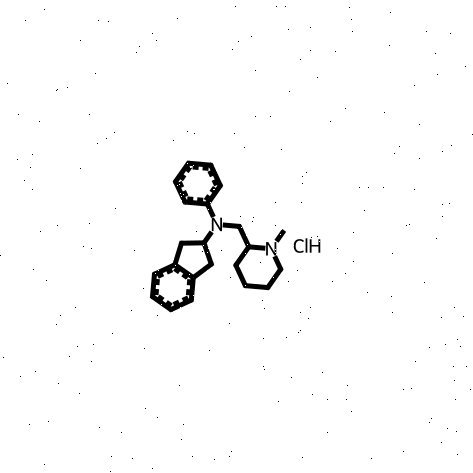 CN1CCCCC1CN(c1ccccc1)C1Cc2ccccc2C1.Cl